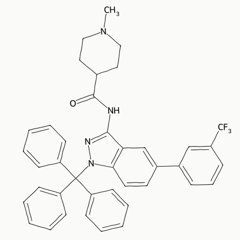 CN1CCC(C(=O)Nc2nn(C(c3ccccc3)(c3ccccc3)c3ccccc3)c3ccc(-c4cccc(C(F)(F)F)c4)cc23)CC1